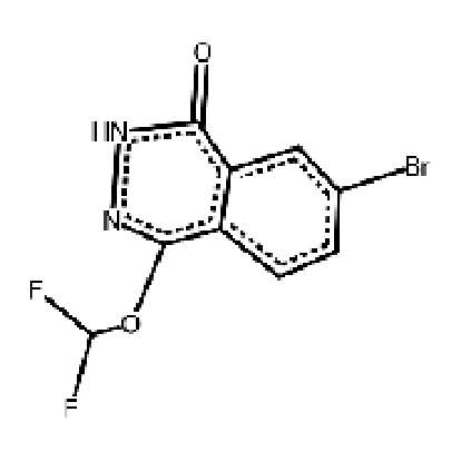 O=c1[nH]nc(OC(F)F)c2ccc(Br)cc12